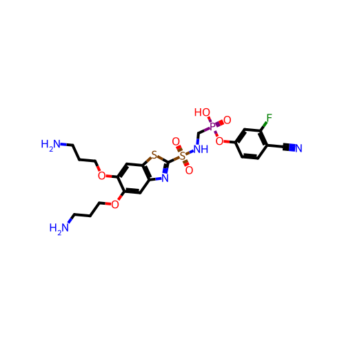 N#Cc1ccc(OP(=O)(O)CNS(=O)(=O)c2nc3cc(OCCCN)c(OCCCN)cc3s2)cc1F